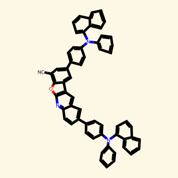 N#Cc1cc(-c2ccc(N(c3ccccc3)c3cccc4ccccc34)cc2)cc2c1oc1nc3ccc(-c4ccc(N(c5ccccc5)c5cccc6ccccc56)cc4)cc3cc12